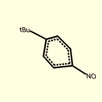 CC(C)(C)c1ccc(N=O)cc1